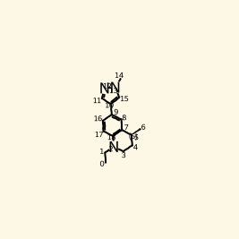 CCN1CC[C@H](C)c2cc(-c3cnn(C)c3)ccc21